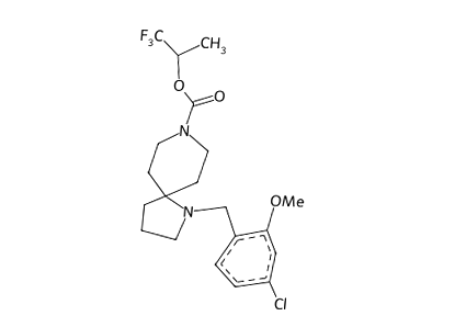 COc1cc(Cl)ccc1CN1CCCC12CCN(C(=O)OC(C)C(F)(F)F)CC2